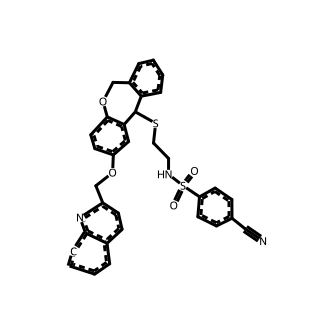 N#Cc1ccc(S(=O)(=O)NCCSC2c3ccccc3COc3ccc(OCc4ccc5ccccc5n4)cc32)cc1